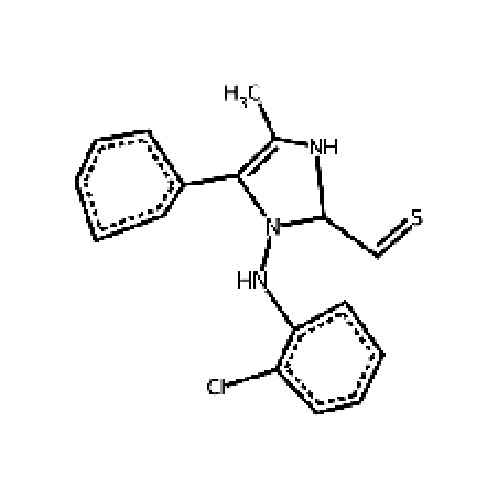 CC1=C(c2ccccc2)N(Nc2ccccc2Cl)C(C=S)N1